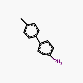 Cc1ccc(-c2ccc(P)cc2)cc1